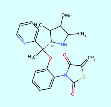 C=C1SC(=O)N(c2ccccc2OC(C)(c2ccccn2)[C@H]2NC(C)C(OC)C2C)C1=O